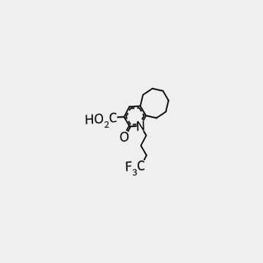 O=C(O)c1cc2c(n(CCCC(F)(F)F)c1=O)CCCCCC2